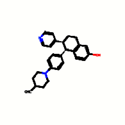 O=CC1CCN(c2ccc([C@H]3c4ccc(O)cc4CC[C@H]3c3ccncc3)cc2)CC1